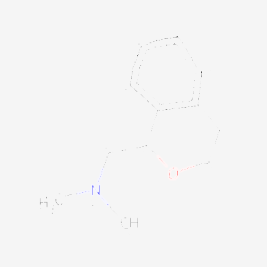 CN(C)CC1OCCc2ccccc21